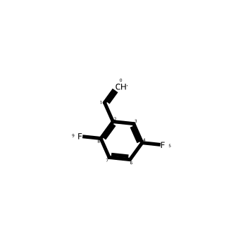 [CH]=Cc1cc(F)ccc1F